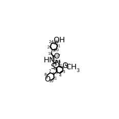 COc1ccc(C2CCOCC2)c2sc(NC(=O)C[C@H]3CC[C@H](O)CC3)nc12